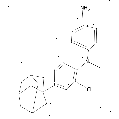 CN(c1ccc(N)cc1)c1ccc(C23CC4CC(CC(C4)C2)C3)cc1Cl